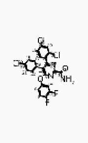 NC(=O)c1nc(Oc2ccc(F)c(F)c2)c(-c2ccc(Cl)cc2)c(-c2ccc(Cl)cc2Cl)n1